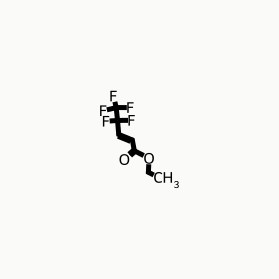 CCOC(=O)C=CC(F)(F)C(F)(F)F